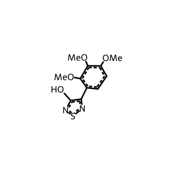 COc1ccc(-c2nsnc2O)c(OC)c1OC